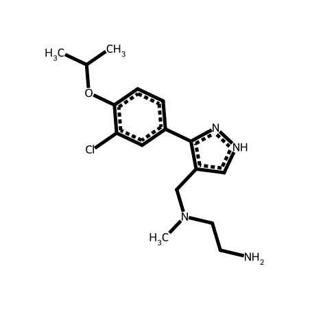 CC(C)Oc1ccc(-c2n[nH]cc2CN(C)CCN)cc1Cl